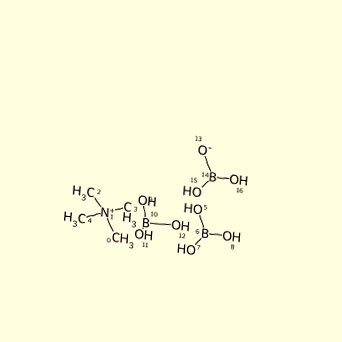 C[N+](C)(C)C.OB(O)O.OB(O)O.[O-]B(O)O